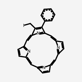 ICC1=C(c2ccccc2)C2=NC1=CC1=NC(=CC3=NC(=CC4=NC(=C2)C=C4)C=C3)C=C1